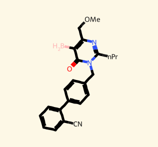 Bc1c(COC)nc(CCC)n(Cc2ccc(-c3ccccc3C#N)cc2)c1=O